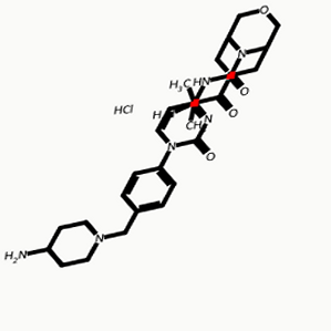 CC(C)(N)C(=O)N1CC2COCC(C1)N2C(=O)Nc1ccn(-c2ccc(CN3CCC(N)CC3)cc2)c(=O)n1.Cl